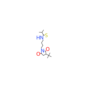 CC(C)C(=S)NCCCCN1C(=O)CC(C(C)(C)C)C1=O